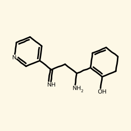 N=C(CC(N)C1=C(O)CCC=C1)c1cccnc1